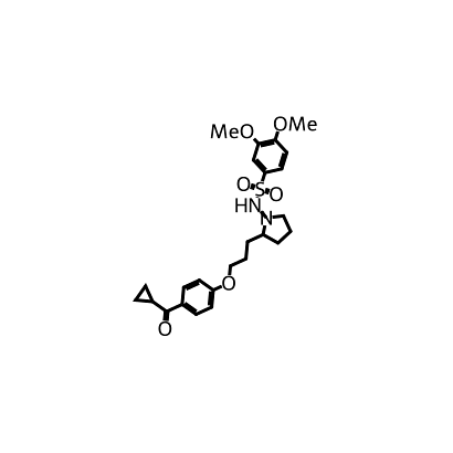 COc1ccc(S(=O)(=O)NN2CCCC2CCCOc2ccc(C(=O)C3CC3)cc2)cc1OC